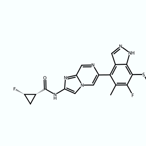 CSc1c(F)c(C)c(-c2cn3cc(NC(=O)[C@@H]4C[C@@H]4F)nc3cn2)c2cn[nH]c12